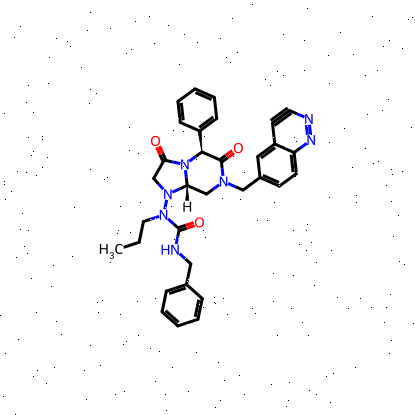 CCCN(C(=O)NCc1ccccc1)N1CC(=O)N2[C@@H](c3ccccc3)C(=O)N(Cc3ccc4nnc#cc4c3)C[C@@H]21